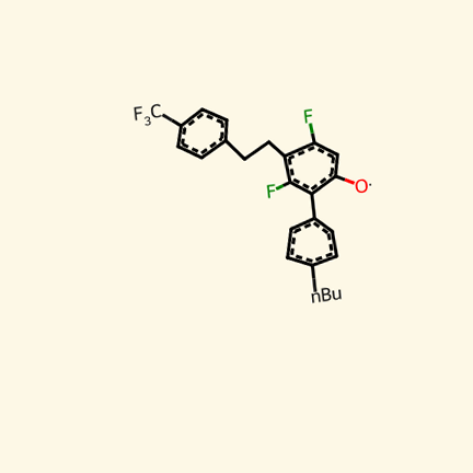 CCCCc1ccc(-c2c([O])cc(F)c(CCc3ccc(C(F)(F)F)cc3)c2F)cc1